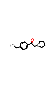 CC(C)Cc1ccc(C(=O)CB2CCCC2)cc1